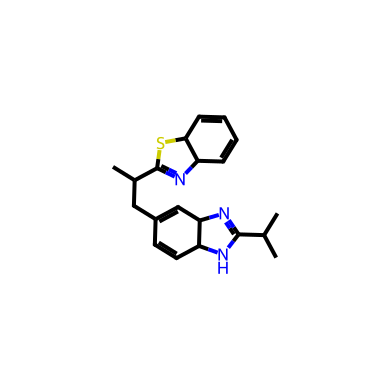 CC(C)C1=NC2C=C(CC(C)C3=NC4C=CC=CC4S3)C=CC2N1